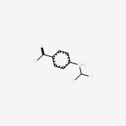 O=C(Cl)c1ccc([SiH2]C(Cl)Cl)cc1